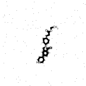 CCOC(=O)CC[C@H]1CC[C@H](N2Cc3cc(C4CCNCC4)ccc3C2=O)CC1.Cl